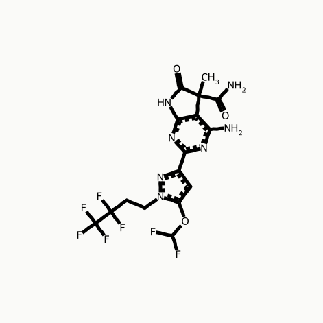 CC1(C(N)=O)C(=O)Nc2nc(-c3cc(OC(F)F)n(CCC(F)(F)C(F)(F)F)n3)nc(N)c21